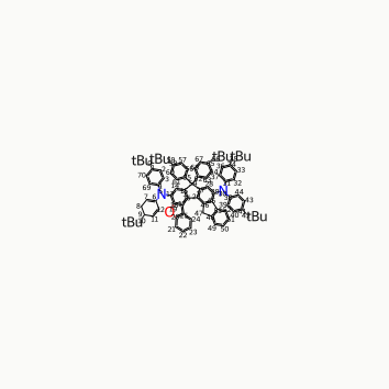 CC(C)(C)c1ccc(N(C2=CCC(C(C)(C)C)C=C2)c2cc3c(c4c2oc2ccccc24)-c2c(cc(N(c4ccc(C(C)(C)C)cc4)c4ccc(C(C)(C)C)cc4)c4c2Cc2ccccc2-4)C3(c2ccc(C(C)(C)C)cc2)c2ccc(C(C)(C)C)cc2)cc1